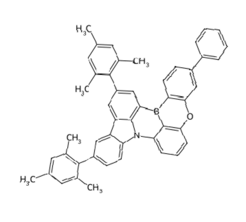 Cc1cc(C)c(-c2ccc3c(c2)c2cc(-c4c(C)cc(C)cc4C)cc4c2n3-c2cccc3c2B4c2ccc(-c4ccccc4)cc2O3)c(C)c1